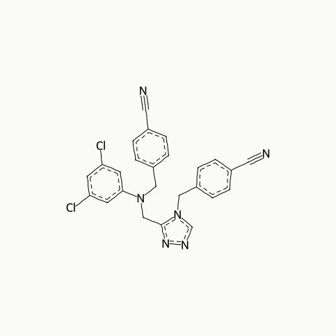 N#Cc1ccc(CN(Cc2nncn2Cc2ccc(C#N)cc2)c2cc(Cl)cc(Cl)c2)cc1